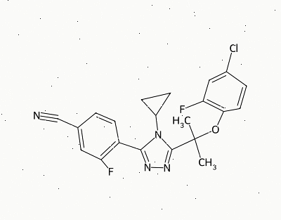 CC(C)(Oc1ccc(Cl)cc1F)c1nnc(-c2ccc(C#N)cc2F)n1C1CC1